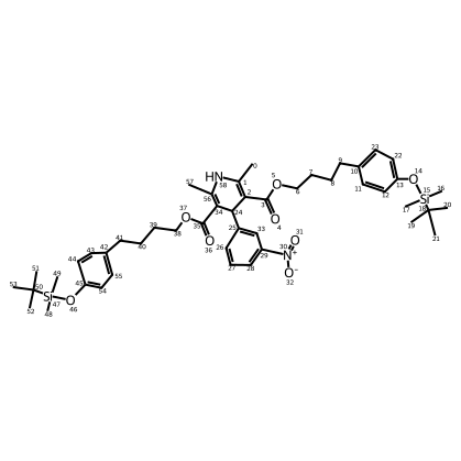 CC1=C(C(=O)OCCCCc2ccc(O[Si](C)(C)C(C)(C)C)cc2)C(c2cccc([N+](=O)[O-])c2)C(C(=O)OCCCCc2ccc(O[Si](C)(C)C(C)(C)C)cc2)=C(C)N1